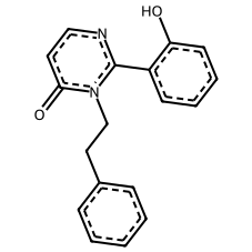 O=c1ccnc(-c2ccccc2O)n1CCc1ccccc1